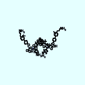 C[n+]1cc(-c2ccc(OC[C@H](O/N=C(\C(=O)N[C@@H]3C(=O)N(OS(=O)(=O)ON4C(=O)[C@@H](NC(=O)/C(=N\O[C@@H](COc5ccc(-c6ccc(CCCN)[n+](C)c6)cc5)C(=O)O)c5csc(N)n5)C4(C)C)C3(C)C)c3csc(N)n3)C(=O)O)cc2)ccc1CCCN